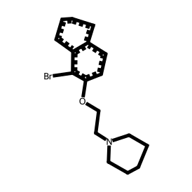 Brc1c(OCCN2CCCCC2)ccc2ccccc12